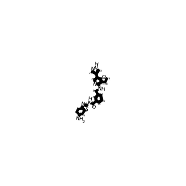 NC1CCc2nc(NC(=O)c3cccc(CNc4ncc(-c5cn[nH]c5)c5c4CCO5)c3)sc2C1